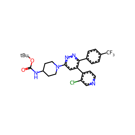 CC(C)(C)OC(=O)NC1CCN(c2cc(-c3ccncc3Cl)c(-c3ccc(C(F)(F)F)cc3)nn2)CC1